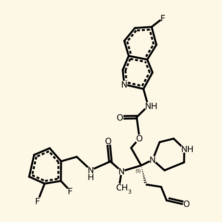 CN(C(=O)NCc1cccc(F)c1F)[C@@](CCC=O)(COC(=O)Nc1cc2cc(F)ccc2cn1)N1CCNCC1